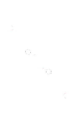 C=CC(=O)OCCCCCCOc1ccc(C(=O)O[C@H]2CC[C@H](OC(=O)c3ccc(OCCCCCCOC(=O)C=C)cc3)CC2)cc1